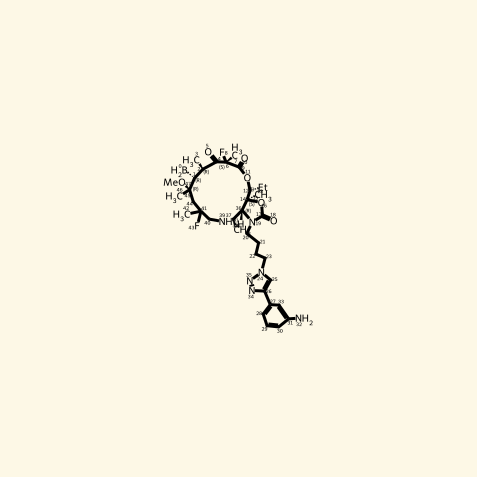 B[C@@H]1[C@@H](C)C(=O)[C@](C)(F)C(=O)O[C@H](CC)[C@@]2(C)OC(=O)N(CCCCn3cc(-c4cccc(N)c4)nn3)[C@@H]2[C@@H](C)NCC(C)(F)C[C@@]1(C)OC